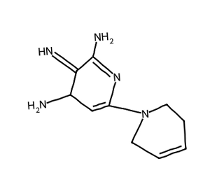 N=C1C(N)=NC(N2CC=CCC2)=CC1N